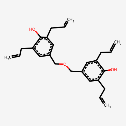 C=CCc1cc(COCc2cc(CC=C)c(O)c(CC=C)c2)cc(CC=C)c1O